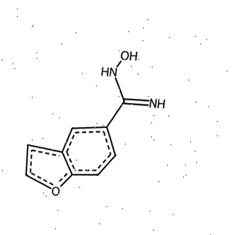 N=C(NO)c1ccc2occc2c1